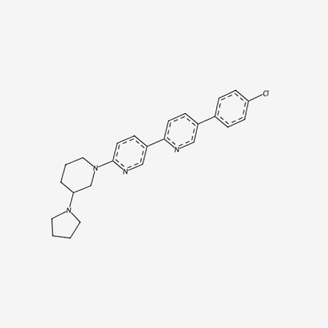 Clc1ccc(-c2ccc(-c3ccc(N4CCCC(N5CCCC5)C4)nc3)nc2)cc1